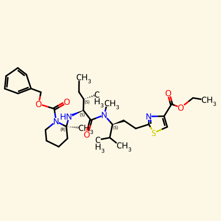 CCOC(=O)c1csc(CC[C@@H](C(C)C)N(C)C(=O)[C@@H](N[C@@]2(C)CCCCN2C(=O)OCc2ccccc2)[C@@H](C)CC)n1